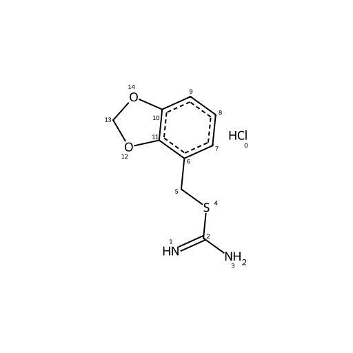 Cl.N=C(N)SCc1cccc2c1OCO2